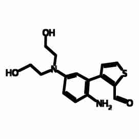 Nc1ccc(N(CCO)CCO)cc1-c1ccsc1C=O